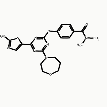 CN(C)C(=O)c1ccc(Oc2nc(-c3cnc(N)s3)nc(N3CCCOCC3)n2)cc1